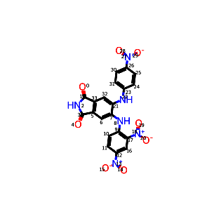 O=C1NC(=O)c2cc(Nc3ccc([N+](=O)[O-])cc3[N+](=O)[O-])c(Nc3ccc([N+](=O)[O-])cc3)cc21